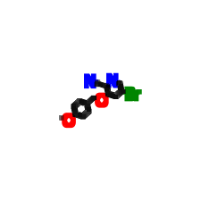 COc1ccc(COc2cc(Br)cnc2C#N)cc1